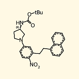 CC(C)(C)OC(=O)N[C@@H]1CCN(c2ccc([N+](=O)[O-])c(CCc3cccc4ccccc34)c2)C1